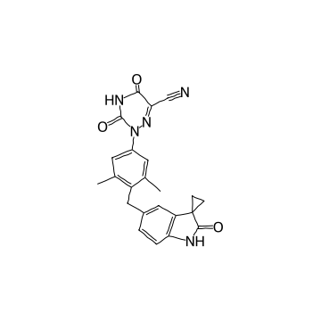 Cc1cc(-n2nc(C#N)c(=O)[nH]c2=O)cc(C)c1Cc1ccc2c(c1)C1(CC1)C(=O)N2